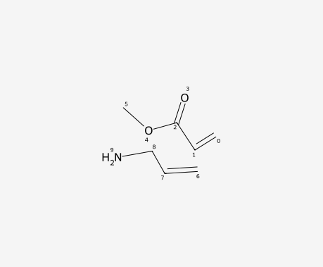 C=CC(=O)OC.C=CCN